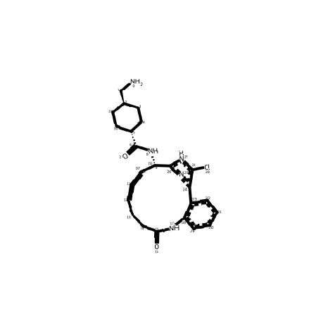 NC[C@H]1CC[C@H](C(=O)N[C@H]2C=C=CCCC(=O)Nc3ccccc3-c3nc2[nH]c3Cl)CC1